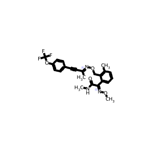 CNC(=O)/C(=N/OC)c1cccc(C)c1CO/N=C(\C)C#Cc1ccc(OC(F)(F)F)cc1